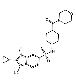 Cn1c(C2CC2)c(C#N)c2ccc(S(=O)(=O)N[C@H]3CC[C@H](C(=O)N4CCOCC4)CC3)cc21